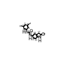 Cc1cc(C)cc(NC(=O)Nc2ccc3c(c2)CC(=O)N3)c1